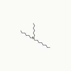 CCCCCCCCN(CCCCCC)CCCCCC